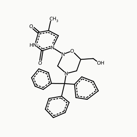 Cc1cn(N2CN(C(c3ccccc3)(c3ccccc3)c3ccccc3)CC(CO)O2)c(=O)[nH]c1=O